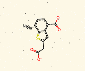 O=C([O-])Cc1cc2c(C(=O)[O-])cccc2s1.[Na+].[Na+]